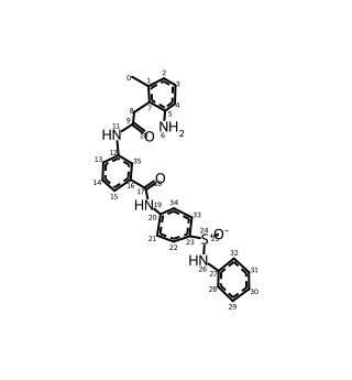 Cc1cccc(N)c1CC(=O)Nc1cccc(C(=O)Nc2ccc([S+]([O-])Nc3ccccc3)cc2)c1